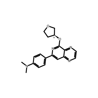 CN(C)c1ccc(-c2cc3nccnc3c(O[C@H]3CCOC3)n2)cc1